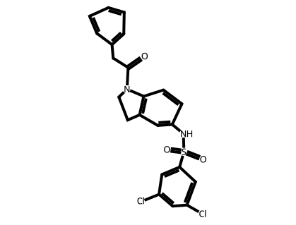 O=C(Cc1ccccc1)N1CCc2cc(NS(=O)(=O)c3cc(Cl)cc(Cl)c3)ccc21